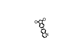 O=C1CC(=O)c2ccccc21.c1ccc2ncccc2c1